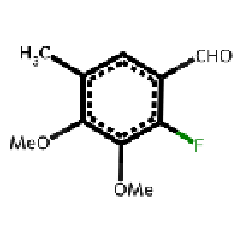 COc1c(C)cc(C=O)c(F)c1OC